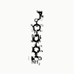 NNC(=O)c1ccc(-c2cnc(N3CCC(OCC4CC4)CC3)nc2)cc1